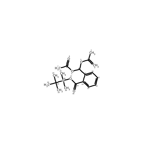 C=C(C)OC(OC(C)=O)c1ccccc1C(=O)O[Si](C)(C)C(C)(C)C